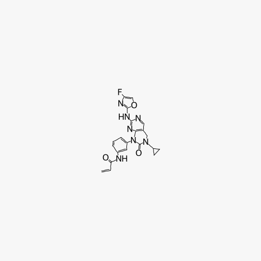 C=CC(=O)Nc1cccc(N2C(=O)N(C3CC3)Cc3cnc(Nc4nc(F)co4)nc32)c1